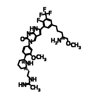 COC[C@H](N)CCCc1cc(-c2cc3cn(-c4ccc([C@@H]5CCC[C@@H](CCNC(C)=N)N5)c(OC)c4)c(=O)nc3[nH]2)c(F)c(C(F)(F)F)c1